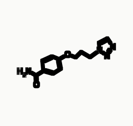 NC(=O)c1ccc(OCCCn2ccnn2)cc1